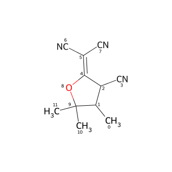 CC1C(C#N)C(=C(C#N)C#N)OC1(C)C